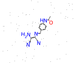 CC(=O)Nc1ccc(C=NC(C#N)=C(N)C#N)cc1